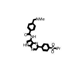 CNCc1ccc(C(=O)Nc2c[nH]c3ncc(-c4ccc(S(=O)(=O)C(C)C)cc4)nc23)cc1